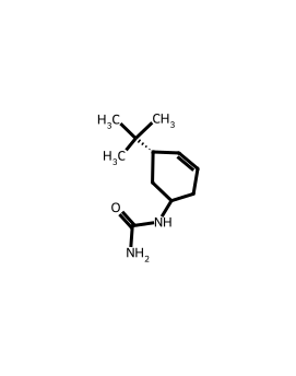 CC(C)(C)[C@@H]1C=CCC(NC(N)=O)C1